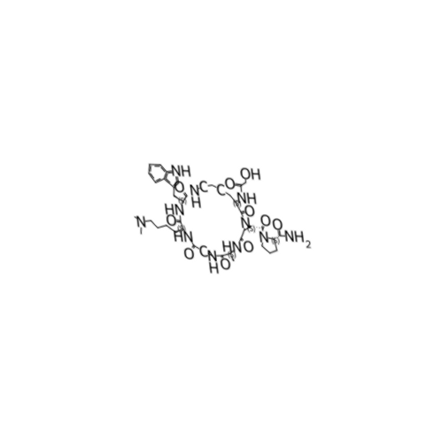 C[C@@H]1NC(=O)C2[C@@H](C(=O)N3CCC[C@H]3C(N)=O)N2C(=O)[C@@H](NC(=O)CO)CCCCNC(=O)[C@H](Cc2c[nH]c3ccccc23)NC(=O)[C@H](CCCCN(C)C)NC(=O)CNC1=O